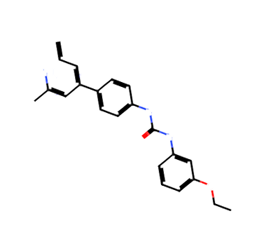 C=C/C=C(\C=C(\C)N)c1ccc(NC(=O)Nc2cccc(OCC)c2)cc1